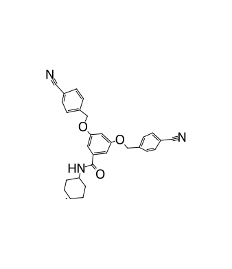 N#Cc1ccc(COc2cc(OCc3ccc(C#N)cc3)cc(C(=O)NC3CC[CH]CC3)c2)cc1